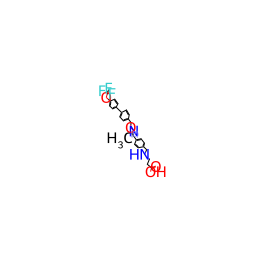 C/C(=N\OCc1ccc(-c2ccc(OC(F)(F)F)cc2)cc1)c1ccc(CNCCC(=O)O)cc1